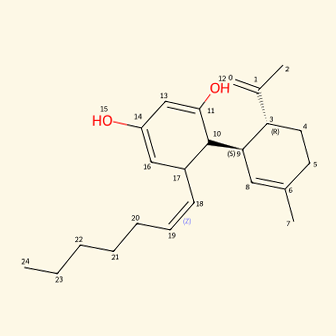 C=C(C)[C@@H]1CCC(C)=C[C@H]1C1C(O)=CC(O)=CC1/C=C\CCCCC